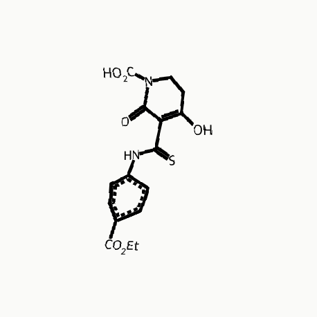 CCOC(=O)c1ccc(NC(=S)C2=C(O)CCN(C(=O)O)C2=O)cc1